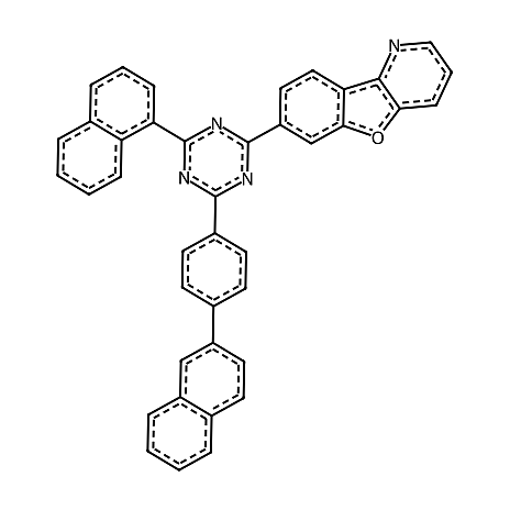 c1ccc2cc(-c3ccc(-c4nc(-c5ccc6c(c5)oc5cccnc56)nc(-c5cccc6ccccc56)n4)cc3)ccc2c1